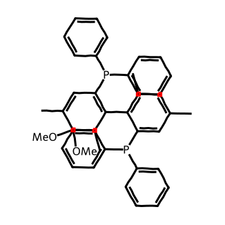 COC1(OC)C(C)=CC(P(c2ccccc2)c2ccccc2)=C(c2c(C)cc(C)cc2P(c2ccccc2)c2ccccc2)C1C